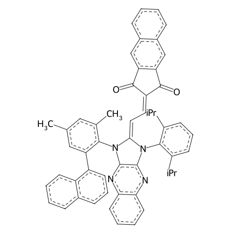 Cc1cc(C)c(N2/C(=C/C=C3C(=O)c4cc5ccccc5cc4C3=O)N(c3c(C(C)C)cccc3C(C)C)c3nc4ccccc4nc32)c(-c2cccc3ccccc23)c1